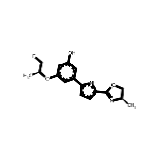 C[C@@H]1COC(c2ccc(-c3cc(O)cc(O[C@@H](C)CF)c3)[nH]2)=N1